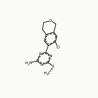 CSc1nc(N)nc(-c2cc3c(cc2Cl)COCC3)n1